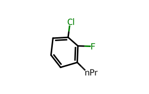 CCCc1cccc(Cl)c1F